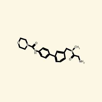 CN(Cc1cccc(-c2ccc(NC(=O)N3CCOCC3)cc2)c1)C(=O)CN